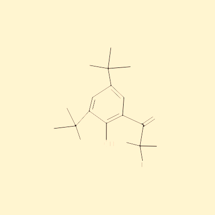 CC(C)(C)c1cc(C(=O)C(F)(F)F)c(O)c(C(C)(C)C)c1